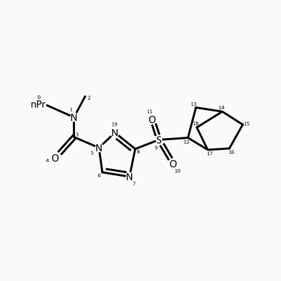 CCCN(C)C(=O)n1cnc(S(=O)(=O)C2CC3CCC2C3)n1